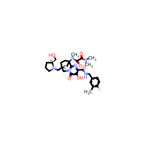 Cc1cc(CNC(=O)c2nc3n(c(=O)c2O)CC2(CN4CCC[C@H]4CO)CCC3(N(C)C(=O)C(=O)N(C)C)CC2)ccc1F